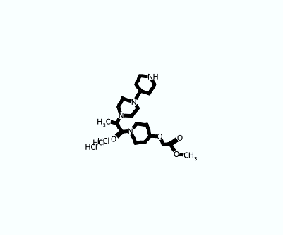 COC(=O)COC1CCN(C(=O)C(C)N2CCN(C3CCNCC3)CC2)CC1.Cl.Cl.Cl